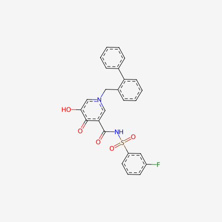 O=C(NS(=O)(=O)c1cccc(F)c1)c1cn(Cc2ccccc2-c2ccccc2)cc(O)c1=O